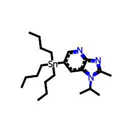 CCC[CH2][Sn]([CH2]CCC)([CH2]CCC)[c]1cnc2nc(C)n(C(C)C)c2c1